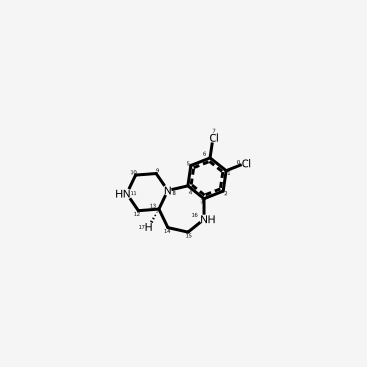 Clc1cc2c(cc1Cl)N1CCNC[C@@H]1CCN2